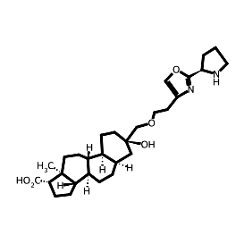 C[C@]12CC[C@H]3[C@@H](CC[C@@H]4C[C@@](O)(COCCc5coc([C@H]6CCCN6)n5)CC[C@@H]43)[C@@H]1CC[C@@H]2C(=O)O